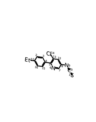 CCc1ccc(-c2ncc(N=C=S)cc2Cl)cc1